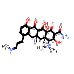 C/N=C\C=C\c1ccc(O)c2c1C[C@H]1C[C@H]3[C@@H](N(C)C)C(O)=C(C(N)=O)C(=O)[C@@]3(O)C(O)=C1C2=O